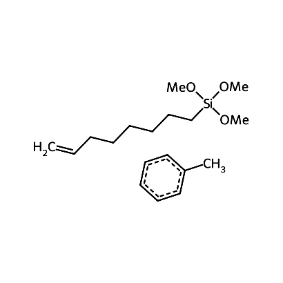 C=CCCCCCC[Si](OC)(OC)OC.Cc1ccccc1